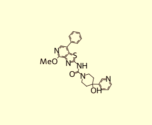 COc1ncc(-c2ccccc2)c2sc(NC(=O)N3CCC(O)(c4cccnc4)CC3)nc12